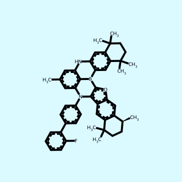 Cc1cc2c3c(c1)N(c1ccc(-c4ccccc4F)cc1)c1c(oc4cc5c(cc14)C(C)(C)CC[C@@H]5C)B3c1cc3c(cc1N2)C(C)(C)CCC3(C)C